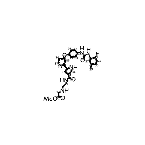 COC(=O)CNCCNC(=O)c1c[nH]c(-c2cc(Oc3ccc(NC(=O)Nc4cc(C)ccc4F)cc3)ccn2)c1